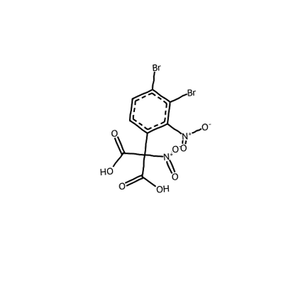 O=C(O)C(C(=O)O)(c1ccc(Br)c(Br)c1[N+](=O)[O-])[N+](=O)[O-]